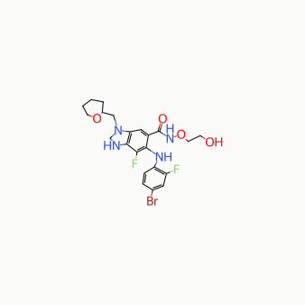 O=C(NOCCO)c1cc2c(c(F)c1Nc1ccc(Br)cc1F)NCN2CC1CCCCO1